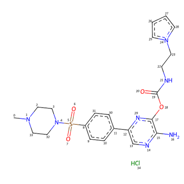 CN1CCN(S(=O)(=O)c2ccc(-c3cnc(N)c(OC(=O)NCCn4cccc4)n3)cc2)CC1.Cl